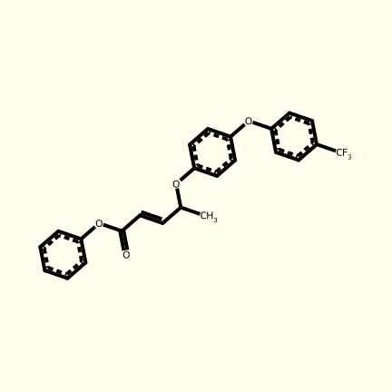 CC(C=CC(=O)Oc1ccccc1)Oc1ccc(Oc2ccc(C(F)(F)F)cc2)cc1